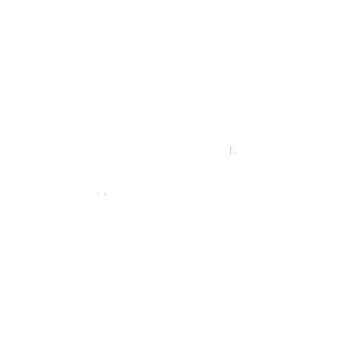 BrCc1cccc2c1CCO2